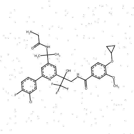 COc1cc(C(=O)NCC(O)(c2cc(C(C)(C)NC(=O)CN)cc(-c3ccc(F)c(Cl)c3)n2)C(F)(F)F)ccc1OC1CC1